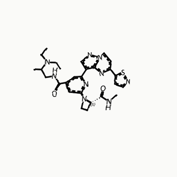 CCN(CC)C(C)CNC(=O)c1cc(-c2cnn3ccc(-c4ccns4)nc23)nc(N2CC[C@H]2C(=O)NC)c1